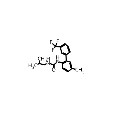 Cc1ccc(NC(=O)NCC(C)C)c(-c2cccc(C(F)(F)F)c2)c1